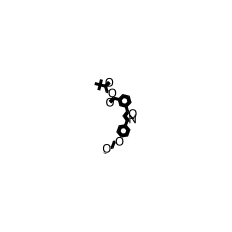 COCCOc1ccc(-c2cc(-c3cccc(C(=O)OCC(=O)C(C)(C)C)c3)on2)cc1